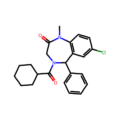 CN1C(=O)CN(C(=O)C2CCCCC2)C(c2ccccc2)c2cc(Cl)ccc21